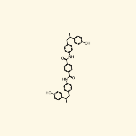 CC(Cc1ccc(NC(=O)c2ccc(C(=O)Nc3ccc(CC(C)c4ccc(O)cc4)cc3)cc2)cc1)c1ccc(O)cc1